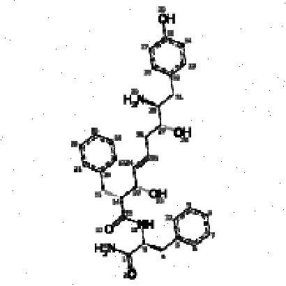 NC(=O)[C@H](Cc1ccccc1)NC(=O)[C@H](Cc1ccccc1)[C@@H](O)/C=C/C[C@@H](O)[C@@H](N)Cc1ccc(O)cc1